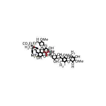 CC#C/C=C\C#C[C@H](O[C@@H]1O[C@H](C)[C@@H](NO[C@H]2C[C@H](O)[C@H](SC(=O)c3c(C)c(I)c(O[C@@H]4O[C@@H](C)[C@H](O)[C@@H](OC)[C@H]4O)c(OC)c3OC)[C@@H](C)O2)[C@H](O)[C@H]1O[C@H]1C[C@H](OC)[C@@H](NCC)CO1)C1=C(NC(=O)OC)C(=O)C[C@](C)(O)/C1=C/CSSC(C)C(=O)OCC